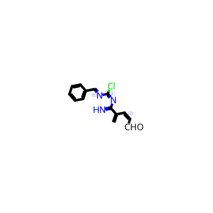 C=C(/C=C\C=O)C(=N)/N=C(Cl)\N=C\c1ccccc1